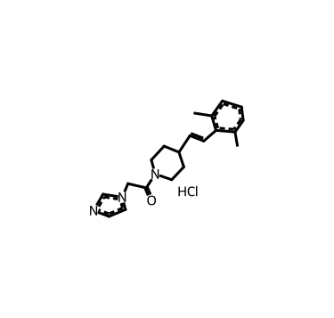 Cc1cccc(C)c1C=CC1CCN(C(=O)Cn2ccnc2)CC1.Cl